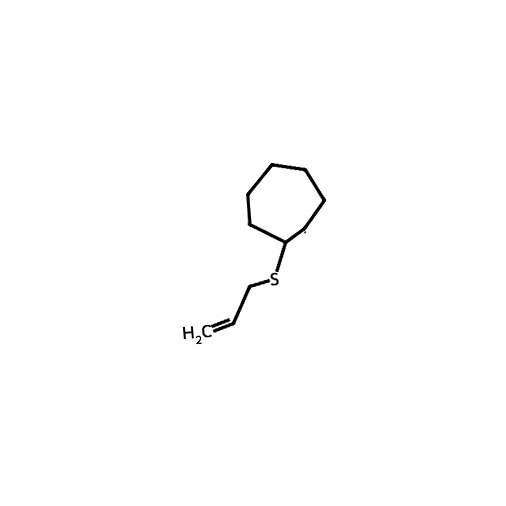 C=CCSC1[CH]CCCCC1